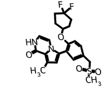 Cc1cc(-c2cc(CS(C)(=O)=O)ccc2OC2CCC(F)(F)CC2)n2cc[nH]c(=O)c12